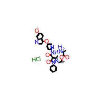 COc1ccc2c(Oc3ccc(NC(=O)c4c(C)n(C[C@@H](C)OC(=O)C(C)N)n(-c5ccccc5)c4=O)nc3)ccnc2c1.Cl